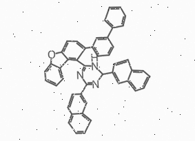 c1ccc(-c2cccc(-c3ccc4oc5ccccc5c4c3C3=NC(c4ccc5ccccc5c4)=NC(c4ccc5ccccc5c4)N3)c2)cc1